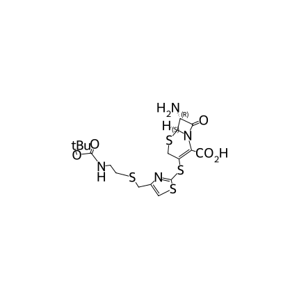 CC(C)(C)OC(=O)NCCSCc1csc(SC2=C(C(=O)O)N3C(=O)[C@@H](N)[C@@H]3SC2)n1